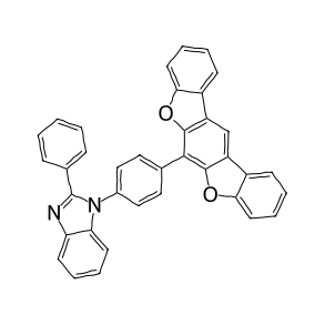 c1ccc(-c2nc3ccccc3n2-c2ccc(-c3c4oc5ccccc5c4cc4c3oc3ccccc34)cc2)cc1